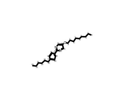 CCCCCCCCCOc1cnc(-c2ccc(CCCCCC)cc2)nc1